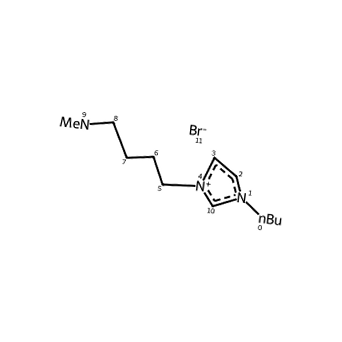 CCCCn1cc[n+](CCCCNC)c1.[Br-]